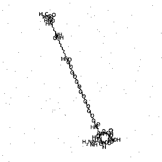 Cc1cc(=O)nc(NC(=O)NCCCCCCNC(=O)NCCCCCCCCCCCCNC(=O)OCCOCCOCCOCCOCCOCCOCCOCCOCCOCCOCCOCCOCCC(=O)NCCCC[C@@H]2NC(=O)[C@@H](Cc3ccccc3)NC(=O)[C@H](CC(=O)O)NC(=O)CNC(=O)[C@H](CCCNC(=N)N)NC2=O)[nH]1